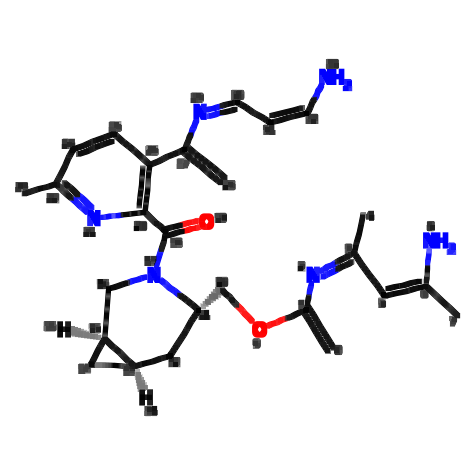 C=C(/N=C(C)\C=C(\C)N)OC[C@@H]1C[C@H]2C[C@H]2CN1C(=O)c1nc(C)ccc1C(=C)/N=C\C=C/N